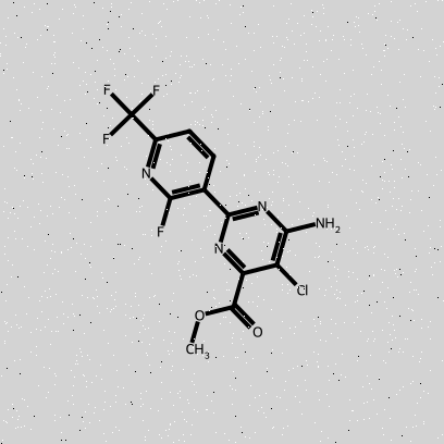 COC(=O)c1nc(-c2ccc(C(F)(F)F)nc2F)nc(N)c1Cl